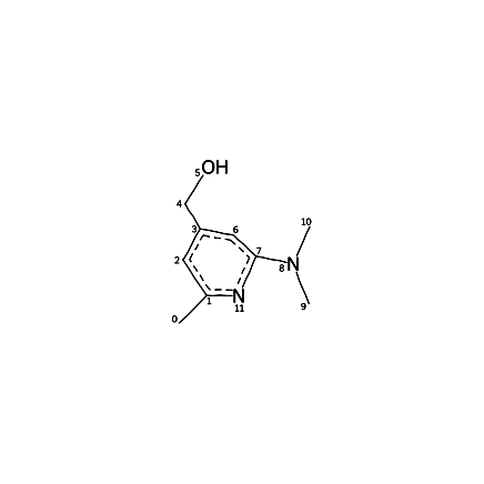 Cc1cc(CO)cc(N(C)C)n1